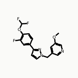 COc1cncc(Cn2ccc(-c3ccc(OC(F)F)c(F)c3)n2)c1